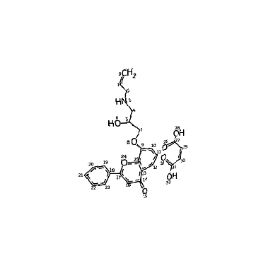 C=CCNCC(O)COc1cccc2c(=O)cc(-c3ccccc3)oc12.O=C(O)/C=C\C(=O)O